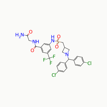 NC(=O)CNC(=O)c1cc(NS(=O)(=O)CC2CN(C(c3ccc(Cl)cc3)c3ccc(Cl)cc3)C2)cc(C(F)(F)F)c1